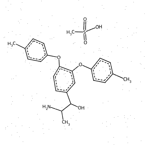 CS(=O)(=O)O.Cc1ccc(Oc2ccc(C(O)C(C)N)cc2Oc2ccc(C)cc2)cc1